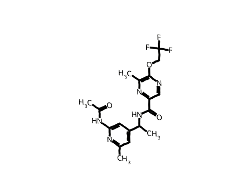 CC(=O)Nc1cc(C(C)NC(=O)c2cnc(OCC(F)(F)F)c(C)n2)cc(C)n1